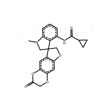 CN1CC2(COc3cc4c(cc32)OC(=O)CO4)c2c(NC(=O)C3CC3)cccc21